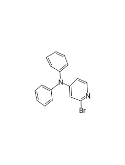 Brc1cc(N(c2ccccc2)c2ccccc2)ccn1